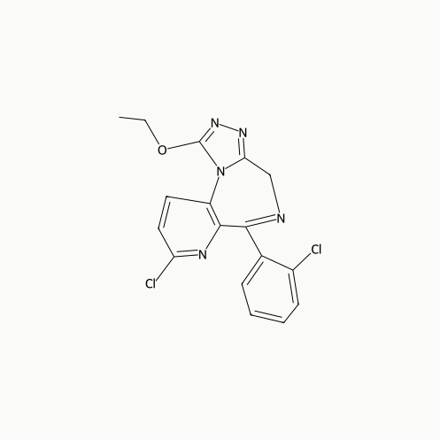 CCOc1nnc2n1-c1ccc(Cl)nc1C(c1ccccc1Cl)=NC2